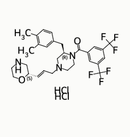 Cc1ccc(C[C@@H]2CN(CC=C[C@H]3CNCCO3)CCN2C(=O)c2cc(C(F)(F)F)cc(C(F)(F)F)c2)cc1C.Cl.Cl